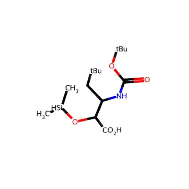 C[SiH](C)OC(C(=O)O)C(CC(C)(C)C)NC(=O)OC(C)(C)C